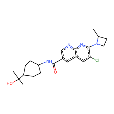 CC1CCN1c1nc2ncc(C(=O)NC3CCC(C(C)(C)O)CC3)cc2cc1Cl